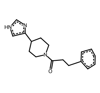 O=C(CCc1ccccc1)N1CCC(c2c[nH]cn2)CC1